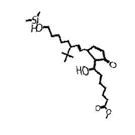 COC(=O)CCCCCC(O)C1C(=O)C=CC1C=CC(CCCCCO[SiH](C)C)C(C)(C)C